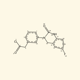 O=C(Cl)Cc1cccc(N2Cc3cc(F)ccc3NC2=O)c1